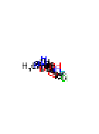 Cc1nn(C)cc1C(=O)NC12CCC(NC(=O)COc3ccc(Cl)c(F)c3)(CC1)[C@@H](O)C2